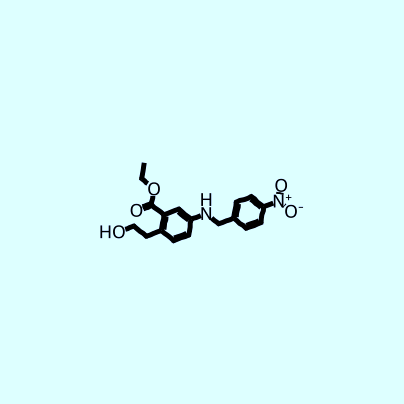 CCOC(=O)c1cc(NCc2ccc([N+](=O)[O-])cc2)ccc1CCO